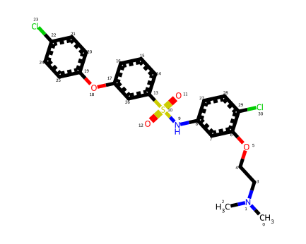 CN(C)CCOc1cc(NS(=O)(=O)c2cccc(Oc3ccc(Cl)cc3)c2)ccc1Cl